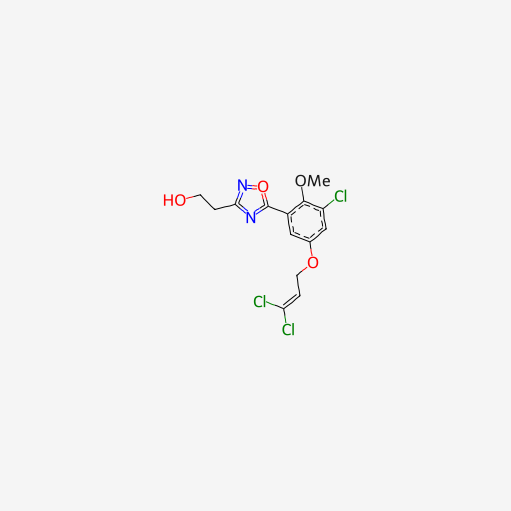 COc1c(Cl)cc(OCC=C(Cl)Cl)cc1-c1nc(CCO)no1